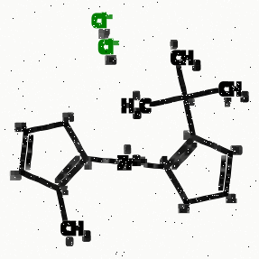 CC1=[C]([Zr+2][C]2=C(C(C)(C)C)C=CC2)CC=C1.[Cl-].[Cl-]